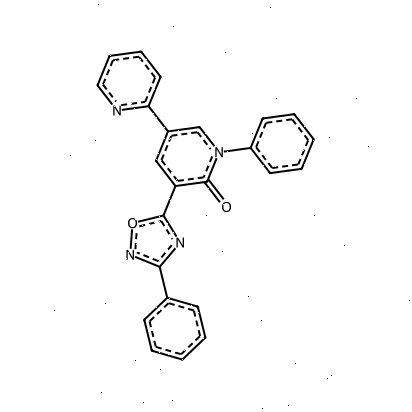 O=c1c(-c2nc(-c3ccccc3)no2)cc(-c2ccccn2)cn1-c1ccccc1